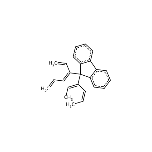 C=C/C=C(\C=C)C1(C(/C=C\C)=C/C)c2ccccc2-c2ccccc21